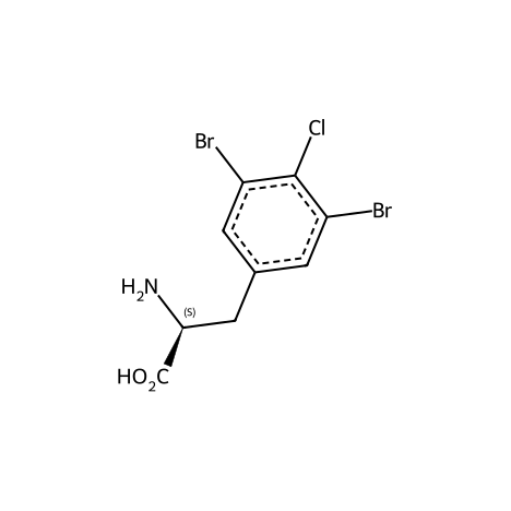 N[C@@H](Cc1cc(Br)c(Cl)c(Br)c1)C(=O)O